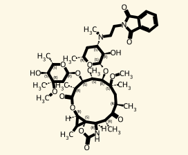 CO[C@]1(C)C[C@H](O[C@H]2[C@H](C)[C@@H](O[C@@H]3O[C@H](C)C[C@H](N(C)CCN4C(=O)c5ccccc5C4=O)[C@H]3O)[C@@](C)(OC)C[C@@H](C)C(=O)[C@H](C)[C@H]3NC(=O)O[C@@]34C(C)[C@H]4OC(=O)[C@@H]2C)O[C@@H](C)[C@@H]1O